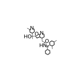 Cc1ccc([C@@H](NC(=O)Cc2ccnc3oc(C(C)(O)c4ccnc(C)c4)cc23)c2ccccc2)c(C)c1